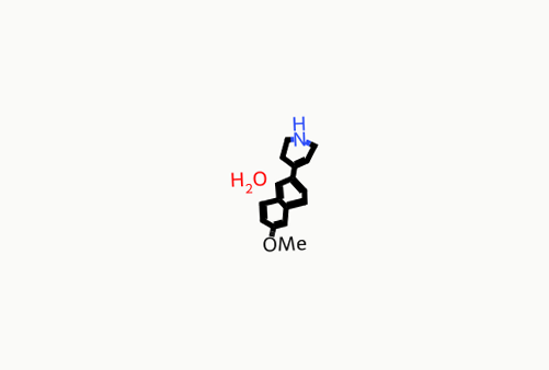 COc1ccc2cc(C3=CCNCC3)ccc2c1.O